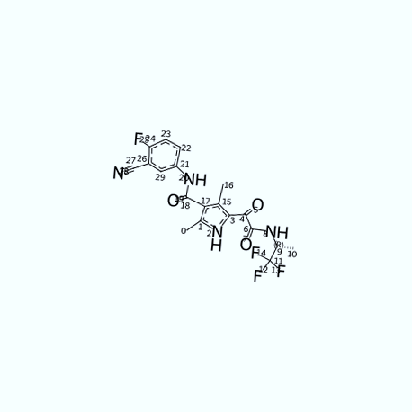 Cc1[nH]c(C(=O)C(=O)N[C@H](C)C(F)(F)F)c(C)c1C(=O)Nc1ccc(F)c(C#N)c1